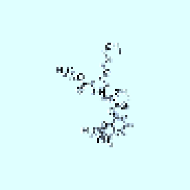 CCCCOCCN(CCC(=O)OCC)SN(C)C(=O)Oc1cccc2c1OC(C)(C)C2